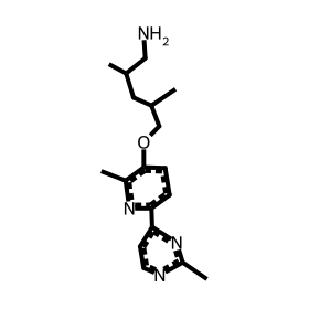 Cc1nccc(-c2ccc(OCC(C)CC(C)CN)c(C)n2)n1